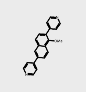 COc1c(-c2ccncc2)ccc2cc(-c3ccncc3)ccc12